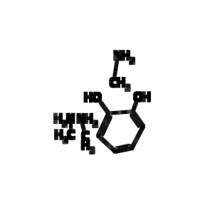 CN.CN.CN.Oc1ccccc1O